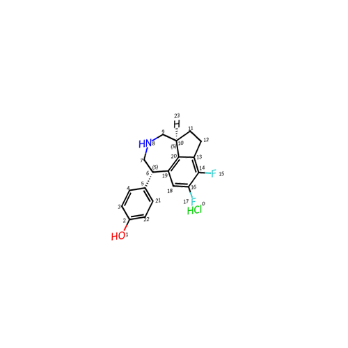 Cl.Oc1ccc([C@@H]2CNC[C@H]3CCc4c(F)c(F)cc2c43)cc1